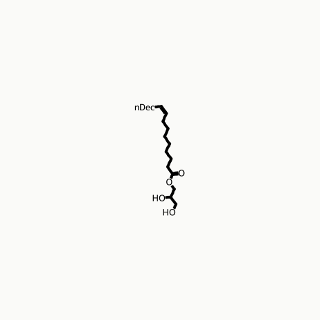 CCCCCCCCCC/C=C\CCCCCCCC(=O)OCC(O)CO